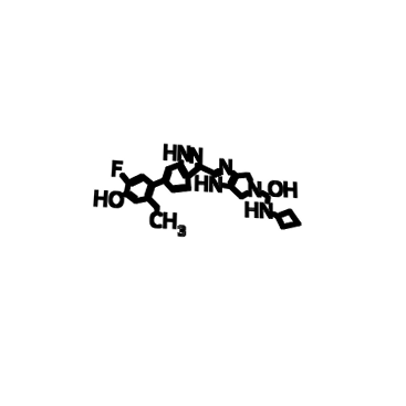 CCc1cc(O)c(F)cc1-c1ccc2c(-c3nc4c([nH]3)CN(C(O)NC3CCC3)C4)n[nH]c2c1